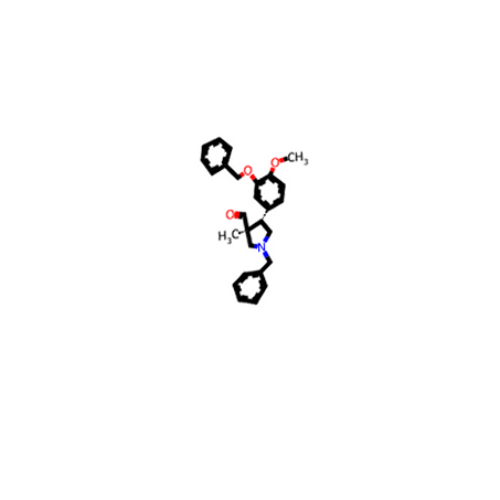 COc1ccc([C@@H]2CN(Cc3ccccc3)C[C@@]2(C)C=O)cc1OCc1ccccc1